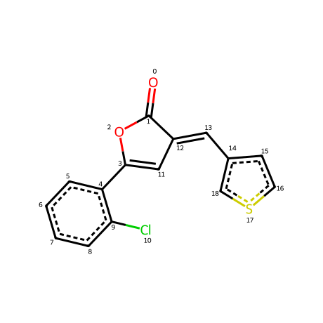 O=C1OC(c2ccccc2Cl)=CC1=Cc1ccsc1